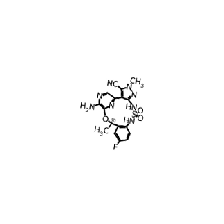 C[C@H]1Oc2nc(cnc2N)-c2c(nn(C)c2C#N)NS(=O)(=O)Nc2ccc(F)cc21